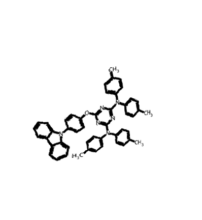 Cc1ccc(N(c2ccc(C)cc2)c2nc(Oc3ccc(-n4c5ccccc5c5ccccc54)cc3)nc(N(c3ccc(C)cc3)c3ccc(C)cc3)n2)cc1